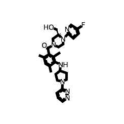 Cc1cc(C)c(C(=O)N2CCN(c3ccc(F)cn3)[C@H](CO)C2)c(C)c1NC1CCN(c2cccnn2)CC1